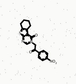 O=C(Cn1cnc2sc3c(c2c1=O)CCCC3)c1ccc([N+](=O)[O-])cc1